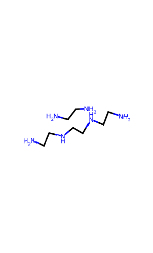 NCCN.NCCNCCNCCN